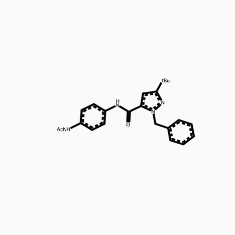 CC(=O)Nc1ccc(NC(=O)c2cc(C(C)(C)C)nn2Cc2ccccc2)cc1